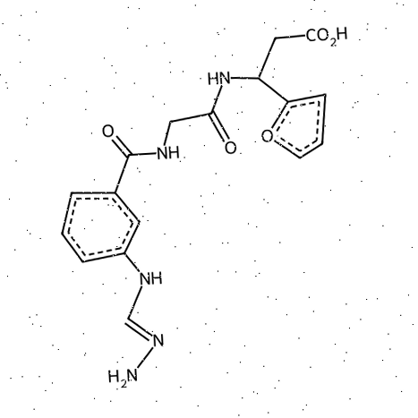 NN=CNc1cccc(C(=O)NCC(=O)NC(CC(=O)O)c2ccco2)c1